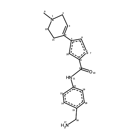 CN1CC=C(c2csc(C(=O)Nc3ccc(CN)cc3)c2)CC1